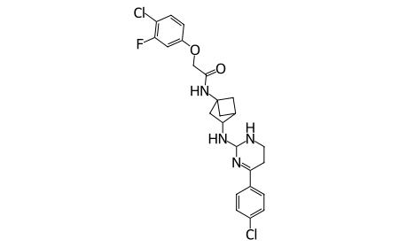 O=C(COc1ccc(Cl)c(F)c1)NC12CC(C1)C(NC1N=C(c3ccc(Cl)cc3)CCN1)C2